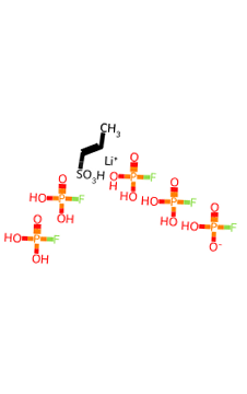 CC=CS(=O)(=O)O.O=P(O)(O)F.O=P(O)(O)F.O=P(O)(O)F.O=P(O)(O)F.O=P([O-])(O)F.[Li+]